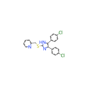 Clc1ccc(-c2nc(SCc3ccccn3)[nH]c2-c2ccc(Cl)cc2)cc1